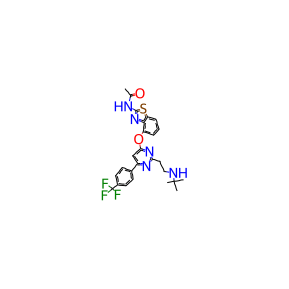 CC(=O)Nc1nc2c(Oc3cc(-c4ccc(C(F)(F)F)cc4)nc(CCNC(C)(C)C)n3)cccc2s1